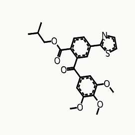 COc1cc(C(=O)c2cc(-c3nccs3)ccc2C(=O)OCC(C)C)cc(OC)c1OC